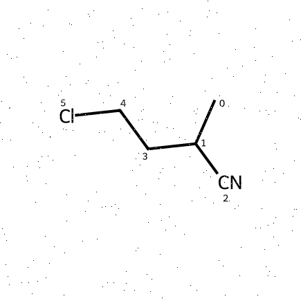 CC(C#N)CCCl